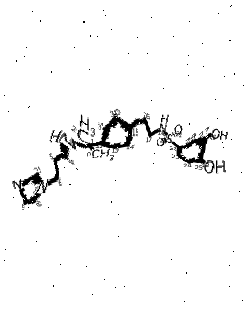 CC(C)(NCCCn1ccnc1)c1ccc(CCNS(=O)(=O)c2ccc(O)c(O)c2)cc1